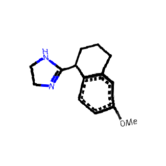 COc1ccc2c(c1)CCCC2C1=NCCN1